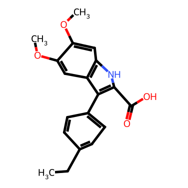 CCc1ccc(-c2c(C(=O)O)[nH]c3cc(OC)c(OC)cc23)cc1